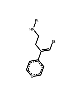 CCC=C(CCNCC)c1ccncc1